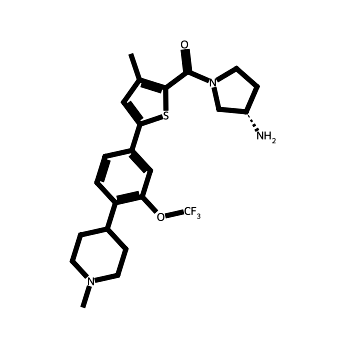 Cc1cc(-c2ccc(C3CCN(C)CC3)c(OC(F)(F)F)c2)sc1C(=O)N1CC[C@H](N)C1